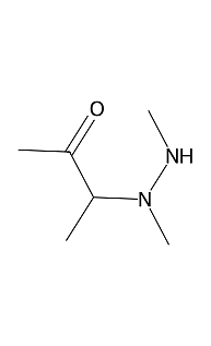 CNN(C)C(C)C(C)=O